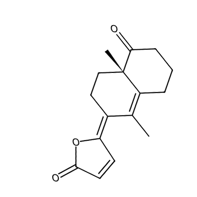 CC1=C2CCCC(=O)[C@@]2(C)CC/C1=C1/C=CC(=O)O1